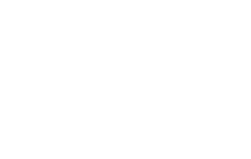 C[C](C(F)F)C1CCC1